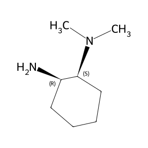 CN(C)[C@H]1CCCC[C@H]1N